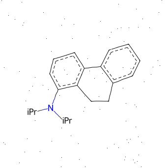 CC(C)N(c1cccc2c1CCc1ccccc1-2)C(C)C